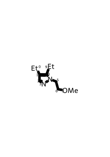 CCc1cnn(CCOC)c1CC